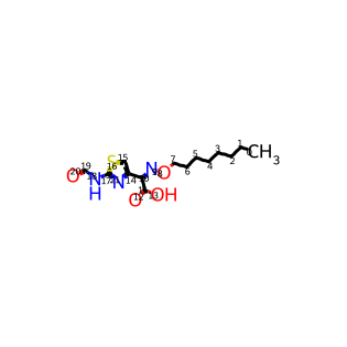 CCCCCCCCON=C(C(=O)O)c1csc(NC=O)n1